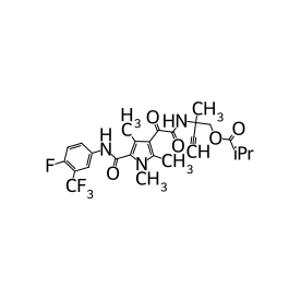 C#CC(C)(COC(=O)C(C)C)NC(=O)C(=O)c1c(C)c(C(=O)Nc2ccc(F)c(C(F)(F)F)c2)n(C)c1C